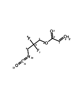 C=CC(=O)OCC(F)(F)CN=C=O